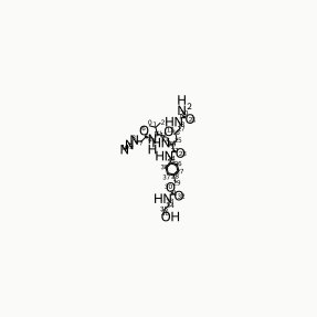 CC(C)[C@H](NC(=O)CN=[N+]=[N-])C(=O)N[C@@H](CCCNC(N)=O)C(=O)Nc1ccc(COC(=O)NCCO)cc1